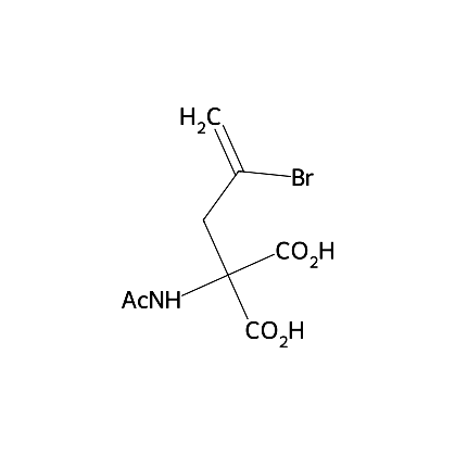 C=C(Br)CC(NC(C)=O)(C(=O)O)C(=O)O